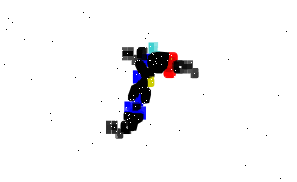 CCc1cnc(N2CCC(c3nc(CN(C)c4ccc(S(C)(=O)=O)cc4F)cs3)CC2)nc1